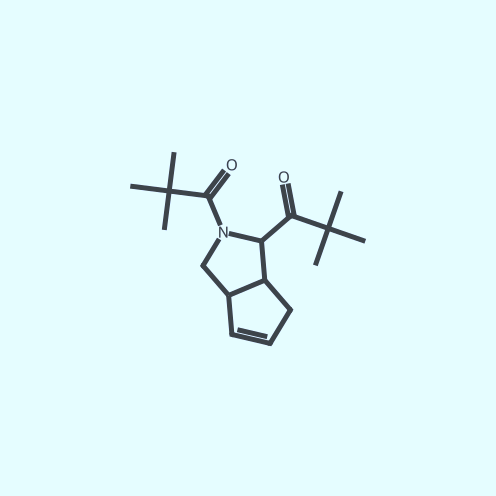 CC(C)(C)C(=O)C1C2CC=CC2CN1C(=O)C(C)(C)C